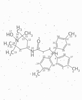 Cc1ccc([PH](CCC(=O)NC2CC(C)(C)N(O)C(C)(C)C2)(c2ccc(C)cc2)c2ccc(C)cc2)cc1